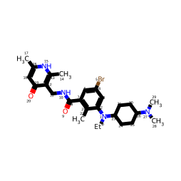 CCN(c1cc(Br)cc(C(=O)NCc2c(C)[nH]c(C)cc2=O)c1C)C1CCC(N(C)C)CC1